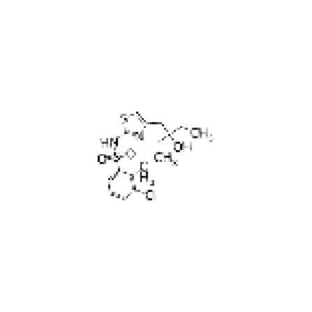 CCC(O)(CC)Cc1csc(NS(=O)(=O)c2cccc(Cl)c2C)n1